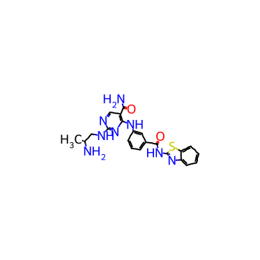 C[C@H](N)CNc1ncc(C(N)=O)c(Nc2cccc(C(=O)Nc3nc4ccccc4s3)c2)n1